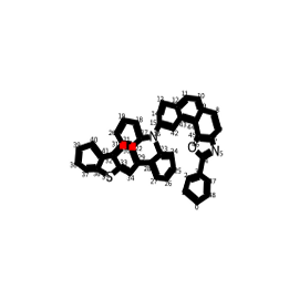 c1ccc(-c2nc3ccc4ccc5ccc(N(c6ccccc6)c6ccccc6-c6ccc7c(c6)sc6ccccc67)cc5c4c3o2)cc1